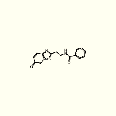 O=C1C=Cc2nc(CCNC(=O)c3ccccc3)sc2C1